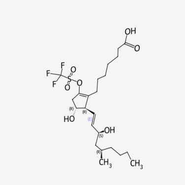 CCCC[C@@H](C)C[C@H](O)/C=C/[C@@H]1C(CCCCCCC(=O)O)=C(OS(=O)(=O)C(F)(F)F)C[C@H]1O